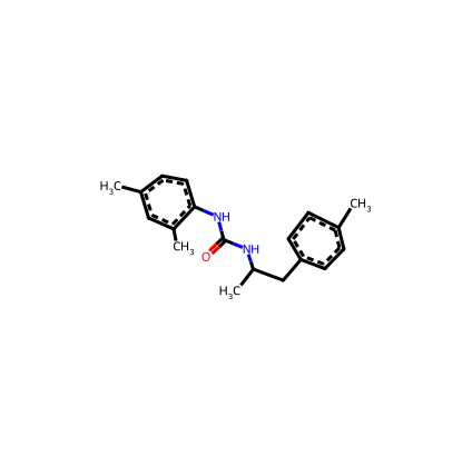 Cc1ccc(CC(C)NC(=O)Nc2ccc(C)cc2C)cc1